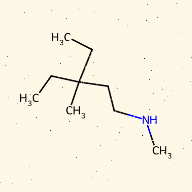 CCC(C)(CC)CCNC